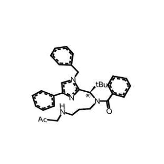 CC(=O)CNCCCN(C(=O)c1ccccc1)[C@@H](c1nc(-c2ccccc2)cn1Cc1ccccc1)C(C)(C)C